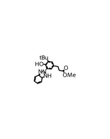 COC(=O)CCc1cc(N2N=C3C=CC=CC3N2)c(O)c(C(C)(C)C)c1